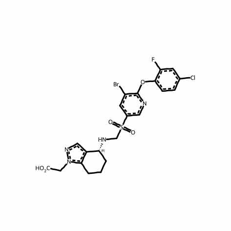 O=C(O)Cn1ncc2c1CCC[C@H]2NCS(=O)(=O)c1cnc(Oc2ccc(Cl)cc2F)c(Br)c1